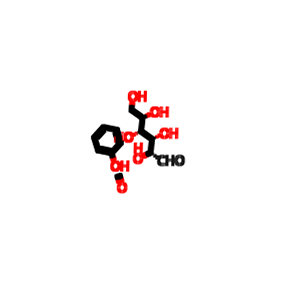 C=O.O=C[C@H](O)[C@@H](O)[C@H](O)[C@H](O)CO.Oc1ccccc1